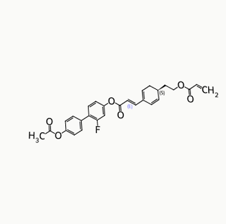 C=CC(=O)OCC[C@H]1C=CC(/C=C/C(=O)Oc2ccc(-c3ccc(OC(C)=O)cc3)c(F)c2)=CC1